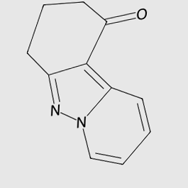 O=C1CCCc2nn3ccccc3c21